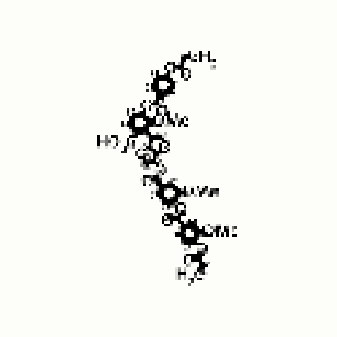 C=CC(=O)Oc1ccc(C(=O)Oc2ccc(C(=O)O)c(C3COC4C(OC(=O)c5ccc(OC(=O)c6ccc(OC(=O)C=C)c(OC)c6)c(OC)c5)COC34)c2OC)cc1